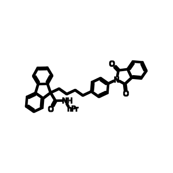 CCCNC(=O)C1(CCCCc2ccc(N3C(=O)c4ccccc4C3=O)cc2)c2ccccc2-c2ccccc21